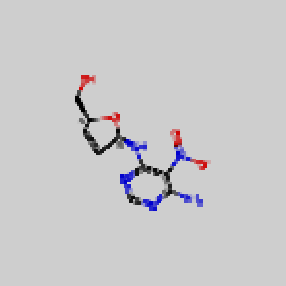 Nc1ncnc(N[C@H]2C=C[C@@H](CO)O2)c1[N+](=O)[O-]